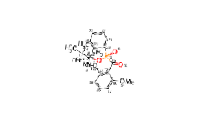 CCCC(C)(C)[Si](C)(C)OP(=O)(C(=O)c1c(OC)cccc1OC)c1ccccc1